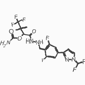 CC(C)(C(OC(N)=O)C(=O)NNCc1c(F)cc(-c2ccn(C(F)F)n2)cc1F)C(F)(F)F